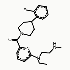 CCN(CCNC)c1cccc(C(=O)N2CCC(c3ccccc3F)CC2)n1